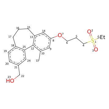 CCS(=O)(=O)CCCOc1cc(C)c2c(c1)CCCc1ccc(CO)cc1-2